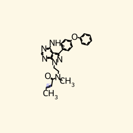 C/C=C/C(=O)N(C)CCn1nc(-c2ccc(Oc3ccccc3)cc2)c2c(N)ncnc21